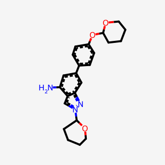 Nc1cc(-c2ccc(OC3CCCCO3)cc2)cc2nn(C3CCCCO3)cc12